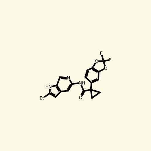 CCc1cc2cc(NC(=O)C3(c4ccc5c(c4)OC(F)(F)O5)CC3)ncc2[nH]1